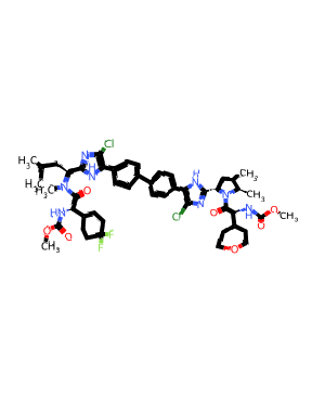 COC(=O)N[C@H](C(=O)N(C)[C@@H](CC(C)C)c1nc(Cl)c(-c2ccc(-c3ccc(-c4[nH]c([C@@H]5CC(C)[C@@H](C)N5C(=O)[C@@H](NC(=O)OC)C5CCOCC5)nc4Cl)cc3)cc2)[nH]1)C1CCC(F)(F)CC1